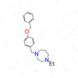 CCN1CCCN(Cc2ccc(OCc3ccccc3)cc2)CC1